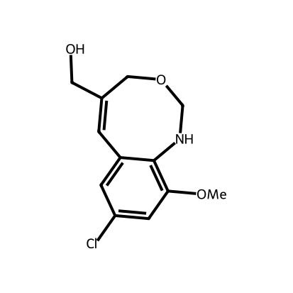 COc1cc(Cl)cc2c1NCOC/C(CO)=C\2